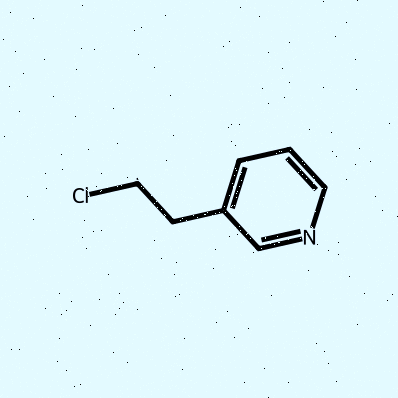 Cl[CH]Cc1cccnc1